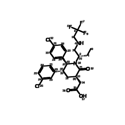 CC[C@@H](CNCC(F)(F)F)N1C(=O)[C@@H](CC(=O)O)C[C@H](c2cccc(Cl)c2)[C@H]1c1ccc(Cl)cc1